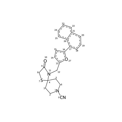 N#CN1CCC2(CC1)SCC(=O)N2Cc1ccc(-c2cccc3ccccc23)o1